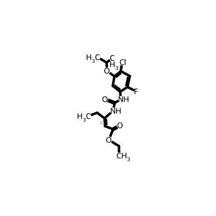 CCOC(=O)/C=C(/CC)NC(=O)Nc1cc(OC(C)C)c(Cl)cc1F